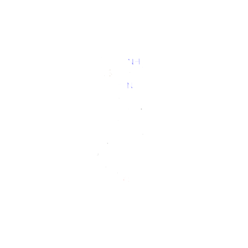 COc1cccc(-c2cccc(C/N=C(/N)SC)c2)c1